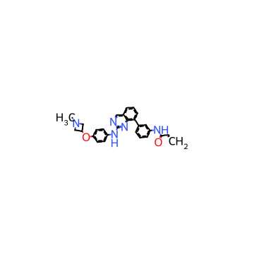 C=CC(=O)Nc1cccc(-c2cccc3cnc(Nc4ccc(OC5CN(C)C5)cc4)nc23)c1